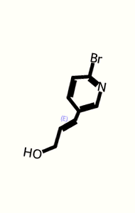 OC/C=C/c1ccc(Br)nc1